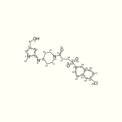 Cn1cc(CO)s/c1=N\C1CCN(C(=O)CCS(=O)(=O)c2ccc3cc(Cl)ccc3c2)CC1